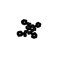 O=C(OC[C@@H]1OC([Se]c2ccccc2)[C@@H](OC(=O)c2ccccc2)[C@H]1OC(=O)c1ccccc1)c1ccccc1